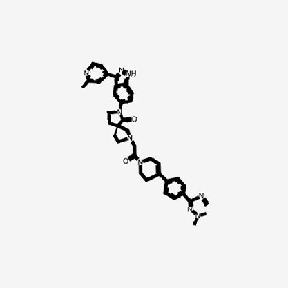 C=N/C(=N\N(C)C)c1ccc(C2=CCN(C(=O)CN3CC[C@]4(CCN(c5ccc6[nH]nc(-c7ccnc(C)c7)c6c5)C4=O)C3)CC2)cc1